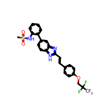 CS(=O)(=O)Nc1ccccc1-c1ccc2[nH]c(/C=C/c3ccc(OCC(F)(F)C(F)(F)F)cc3)nc2c1